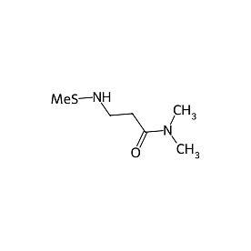 CSNCCC(=O)N(C)C